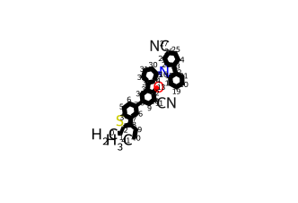 C=Cc1sc2ccc(-c3cc(C#N)c4oc5c(-n6c7ccccc7c7ccc(C#N)cc76)cccc5c4c3)cc2c1/C=C\C